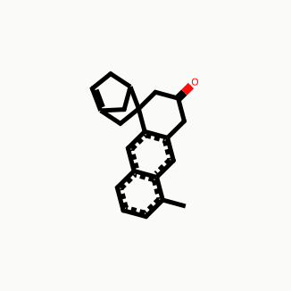 Cc1cccc2cc3c(cc12)CC(=O)CC31CC2=CCC1C2